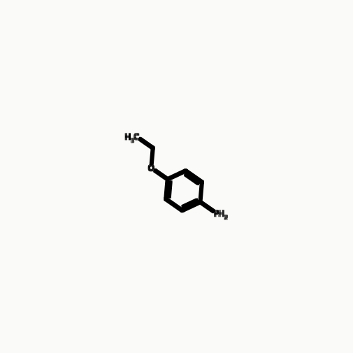 CCOc1ccc(P)cc1